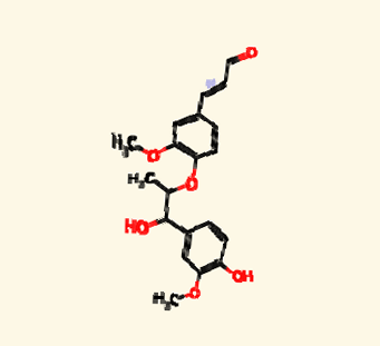 COc1cc(C(O)C(C)Oc2ccc(/C=C/C=O)cc2OC)ccc1O